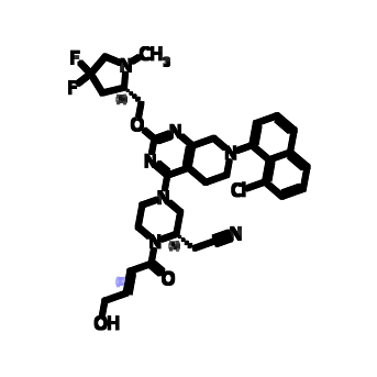 CN1CC(F)(F)C[C@H]1COc1nc2c(c(N3CCN(C(=O)/C=C/CO)[C@@H](CC#N)C3)n1)CCN(c1cccc3cccc(Cl)c13)C2